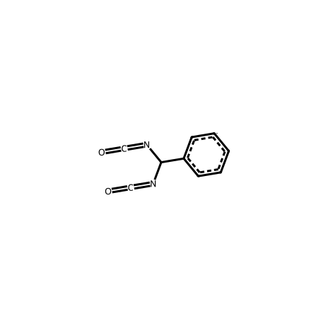 O=C=NC(N=C=O)c1c[c]ccc1